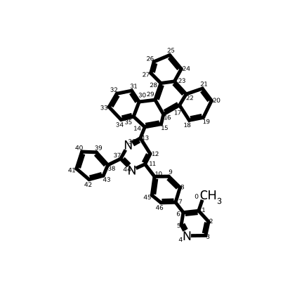 Cc1ccncc1-c1ccc(-c2cc(-c3cc4c5ccccc5c5ccccc5c4c4ccccc34)nc(-c3ccccc3)n2)cc1